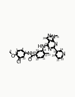 COc1ccc(NC(=O)c2ccc(C)c(Nc3nc(-c4cccnc4)nc4c3cnn4C)c2)cc1Cl